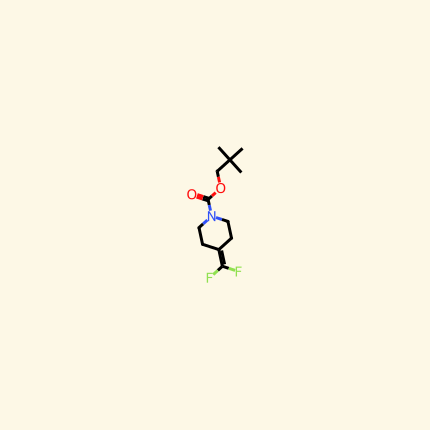 CC(C)(C)COC(=O)N1CCC(=C(F)F)CC1